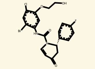 O=C1C=CN(C(=O)Nc2cc(OCCO)c(Cl)cc2Br)[C@H](c2ccc(F)cc2)C1